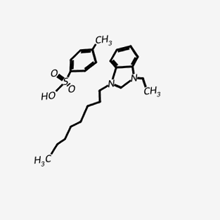 CCCCCCCCN1CN(CC)c2ccccc21.Cc1ccc(S(=O)(=O)O)cc1